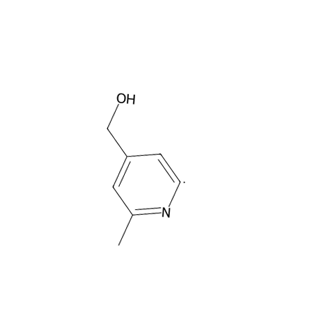 Cc1cc(CO)c[c]n1